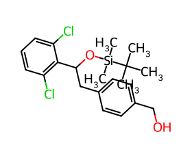 CC(C)(C)[Si](C)(C)OC(Cc1ccc(CO)cc1)c1c(Cl)cccc1Cl